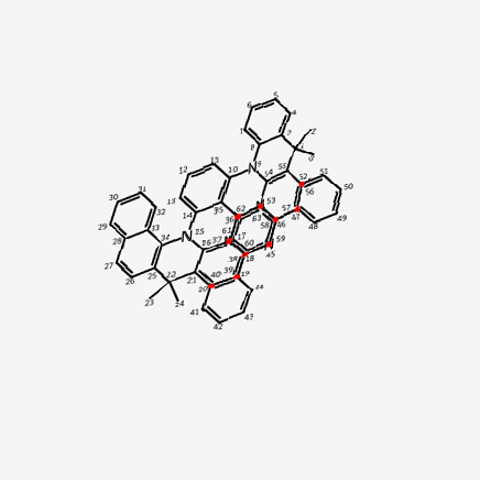 CC1(C)c2ccccc2N(c2cccc(N3c4ccccc4C(C)(C)c4ccc5ccccc5c43)c2-c2nc(-c3ccccc3)nc(-c3ccccc3)n2)c2c1ccc1ccccc21